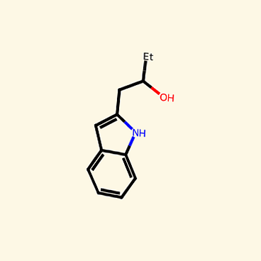 CCC(O)Cc1cc2ccccc2[nH]1